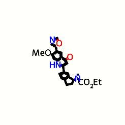 CCOC(=O)N(C)C1CCc2ccc(-c3cc(=O)c4cc(-c5cnco5)c(OC)cc4[nH]3)cc21